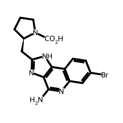 Nc1nc2cc(Br)ccc2c2[nH]c(C[C@H]3CCCN3C(=O)O)nc12